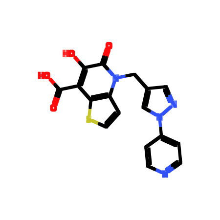 O=C(O)c1c(O)c(=O)n(Cc2cnn(-c3ccncc3)c2)c2ccsc12